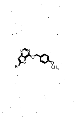 COc1ccc(COc2ncnc3cc(Br)sc23)cc1